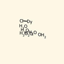 O.O.O.O.O.O.[Cl][Dy]